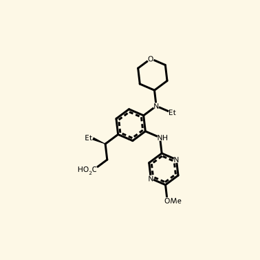 CC[C@H](CC(=O)O)c1ccc(N(CC)C2CCOCC2)c(Nc2cnc(OC)cn2)c1